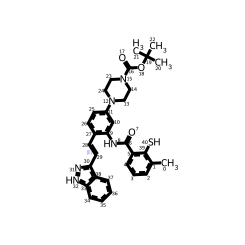 Cc1cccc(C(=O)Nc2cc(N3CCN(C(=O)OC(C)(C)C)CC3)ccc2/C=C/c2n[nH]c3ccccc23)c1S